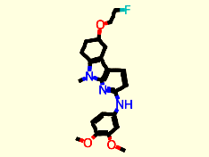 COc1ccc(Nc2ccc3c4c(n(C)c3n2)CCC(OCCF)C4)cc1OC